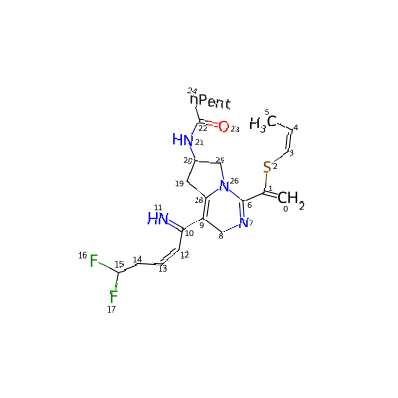 C=C(S/C=C\C)C1=NCC(C(=N)/C=C\CC(F)F)=C2CC(NC(=O)CCCCC)CN12